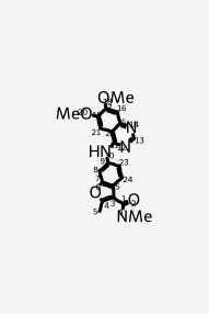 CNC(=O)c1c(C)oc2cc(Nc3ncnc4cc(OC)c(OC)cc34)ccc12